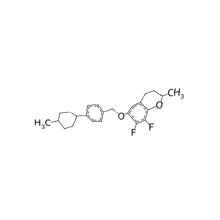 CC1CCC(c2ccc(COc3cc4c(c(F)c3F)OC(C)CC4)cc2)CC1